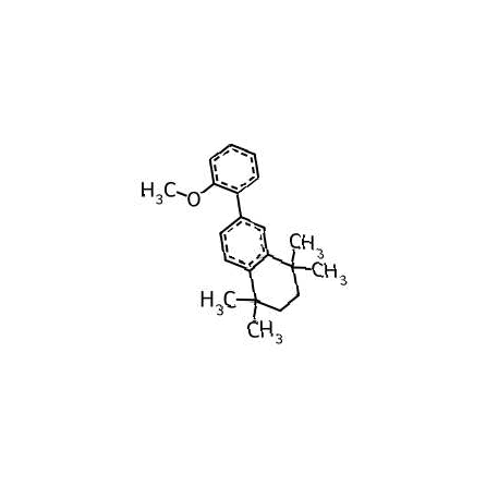 COc1ccccc1-c1ccc2c(c1)C(C)(C)CCC2(C)C